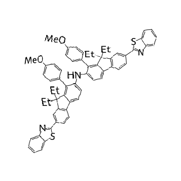 CCC1(CC)c2cc(-c3nc4ccccc4s3)ccc2-c2ccc(Nc3ccc4c(c3-c3ccc(OC)cc3)C(CC)(CC)c3cc(-c5nc6ccccc6s5)ccc3-4)c(-c3ccc(OC)cc3)c21